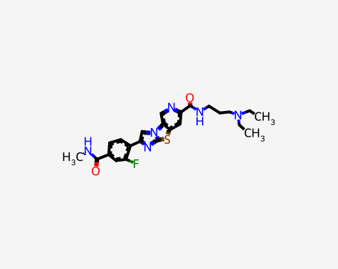 CCN(CC)CCCNC(=O)c1cc2sc3nc(-c4ccc(C(=O)NC)cc4F)cn3c2cn1